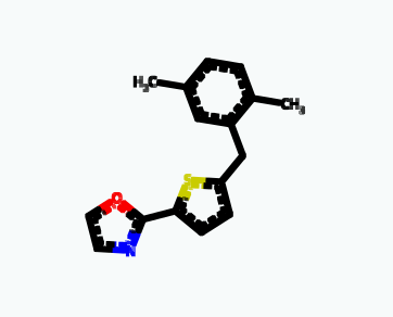 Cc1ccc(C)c(Cc2ccc(-c3ncco3)s2)c1